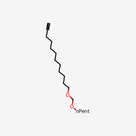 C#CCCCCCCCCCCOCOCCCCC